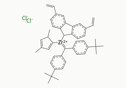 C=Cc1ccc2c(c1)-c1cc(C=C)ccc1[CH]2[Zr+2]([C]1=CC(C)=CC1C)=[C](c1ccc(C(C)(C)C)cc1)c1ccc(C(C)(C)C)cc1.[Cl-].[Cl-]